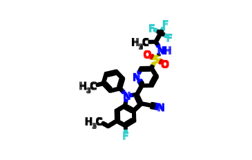 CCc1cc2c(cc1F)c(C#N)c(-c1ccc(S(=O)(=O)NC(C)C(F)(F)F)cn1)n2-c1cccc(C)c1